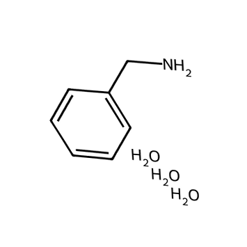 NCc1ccccc1.O.O.O